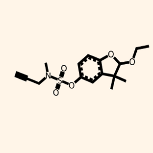 C#CCN(C)S(=O)(=O)Oc1ccc2c(c1)C(C)(C)C(OCC)O2